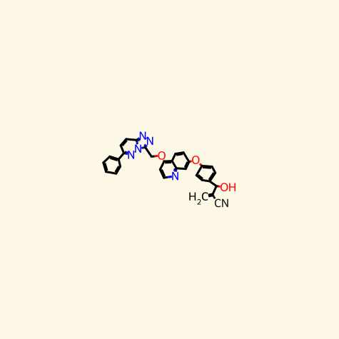 C=C(C#N)C(O)c1ccc(Oc2ccc3c(OCc4nnc5ccc(-c6ccccc6)nn45)ccnc3c2)cc1